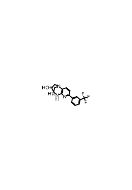 O[C@@H]1CN2C[C@H]1Nc1nc(-c3cccc(C(F)(F)F)c3)ccc12